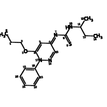 CCCOc1cc(=NC(=S)NC(C)CC)cnn1-c1ccccc1